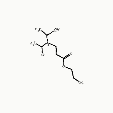 CCCOC(=O)CC[SH](C(C)O)C(C)O